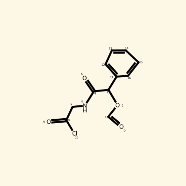 O=COC(C(=O)NCC(=O)Cl)c1ccccc1